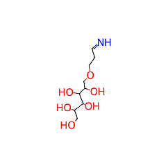 N=CCCOCC(O)C(O)C(O)C(O)CO